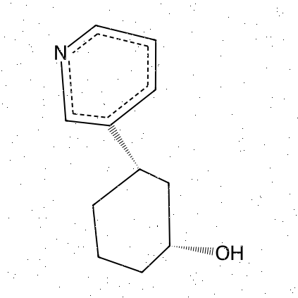 O[C@@H]1CCC[C@H](c2cccnc2)C1